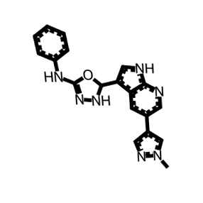 Cn1cc(-c2cnc3[nH]cc(C4NN=C(Nc5ccccc5)O4)c3c2)cn1